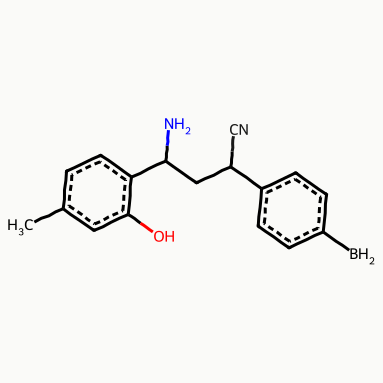 Bc1ccc(C(C#N)CC(N)c2ccc(C)cc2O)cc1